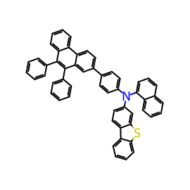 c1ccc(-c2c(-c3ccccc3)c3cc(-c4ccc(N(c5ccc6c(c5)sc5ccccc56)c5cccc6ccccc56)cc4)ccc3c3ccccc23)cc1